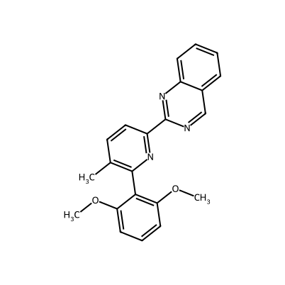 COc1cccc(OC)c1-c1nc(-c2ncc3ccccc3n2)ccc1C